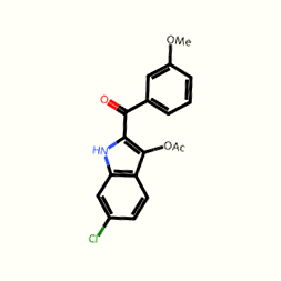 COc1cccc(C(=O)c2[nH]c3cc(Cl)ccc3c2OC(C)=O)c1